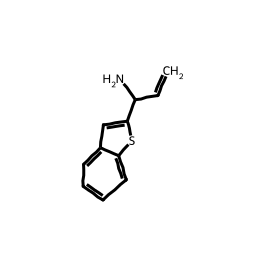 C=CC(N)c1cc2ccccc2s1